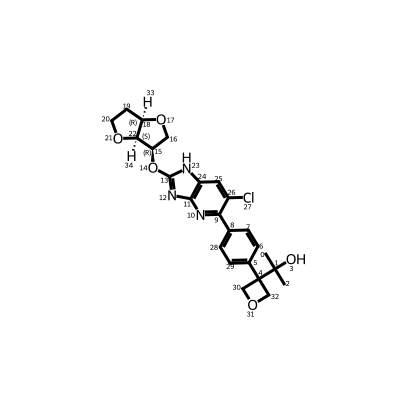 CC(C)(O)C1(c2ccc(-c3nc4nc(O[C@@H]5CO[C@@H]6CCO[C@@H]65)[nH]c4cc3Cl)cc2)COC1